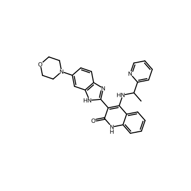 CC(Nc1c(-c2nc3ccc(N4CCOCC4)cc3[nH]2)c(=O)[nH]c2ccccc12)c1ccccn1